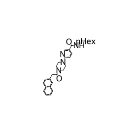 CCCCCCNC(=O)c1ccc(N2CCN(C(=O)Cc3ccc4ccccc4c3)CC2)nc1